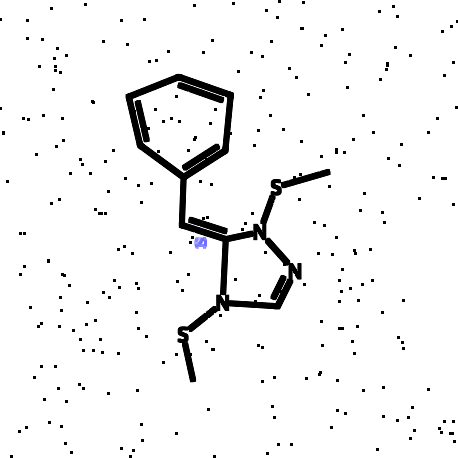 CSN1C=NN(SC)/C1=C\c1ccccc1